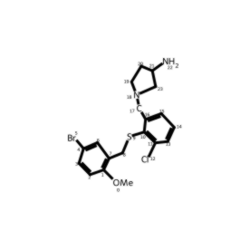 COc1ccc(Br)cc1CSc1c(Cl)cccc1CN1CCC(N)C1